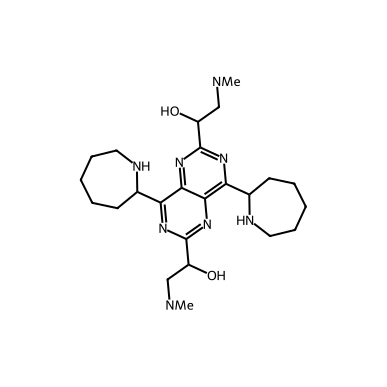 CNCC(O)c1nc(C2CCCCCN2)c2nc(C(O)CNC)nc(C3CCCCCN3)c2n1